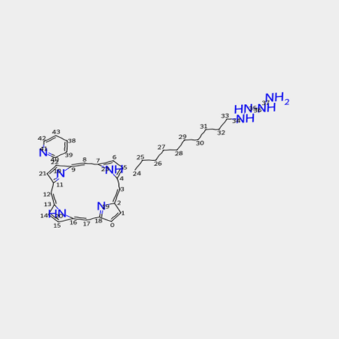 C1=Cc2cc3ccc(cc4nc(cc5ccc(cc1n2)[nH]5)C=C4)[nH]3.CCCCCCCCCCNNNN.c1ccncc1